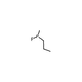 CCCP(C)F